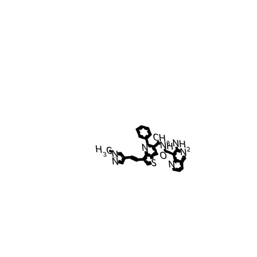 CC(NC(=O)c1c(N)ncc2cccnc12)c1cc2scc(C#Cc3cnn(C)c3)c2nc1-c1ccccc1